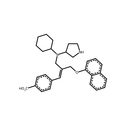 O=C(O)c1ccc(C=C(COc2cccc3ccccc23)CN(C2CCCCC2)C2CCNC2)cc1